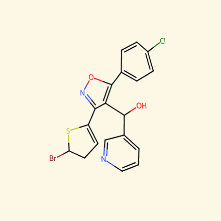 OC(c1cccnc1)c1c(C2=CCC(Br)S2)noc1-c1ccc(Cl)cc1